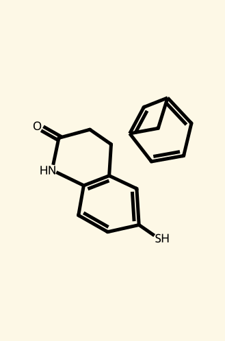 O=C1CCc2cc(S)ccc2N1.c1cc2cc(c1)C2